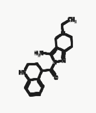 CCN1CCc2nn(C(=O)C3CCNc4ccccc43)c(N)c2C1